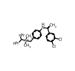 C=C(Nc1ccc(C[N+](C)(C)C(CCC)CCC)cc1)c1ccc(Cl)c(Cl)c1